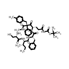 [CH2]NC(=O)[C@](Cc1ccc(C)cc1)(C(=O)[C@H](CCC(=O)NC(=O)OC(C)(C)C)NC(=O)[C@H](Cc1ccccc1)NC(=O)[C@@H](NC(=O)[C@@H](N)CS)[C@@H](C)CC)c1ccccc1